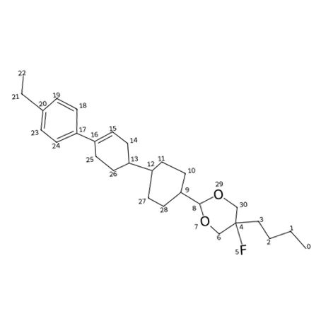 CCCCC1(F)COC(C2CCC(C3CC=C(c4ccc(CC)cc4)CC3)CC2)OC1